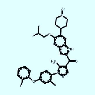 CC(=O)N1CCC(c2cc3[nH]c(C(=O)c4cnn(-c5ccc(Oc6ccccc6F)cc5C)c4N)cc3cc2OCC(F)F)CC1